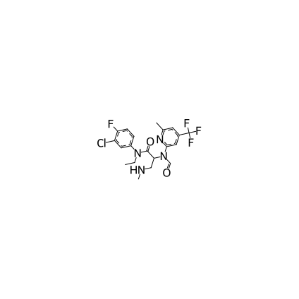 CCN(C(=O)C(CNC)N(C=O)c1cc(C(F)(F)F)cc(C)n1)c1ccc(F)c(Cl)c1